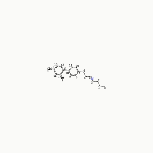 CCC/C=C/CCc1ccc(-c2ccc(F)cc2F)cc1